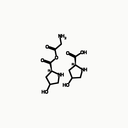 NCC(=O)OC(=O)[C@@H]1CC(O)CN1.O=C(O)[C@@H]1CC(O)CN1